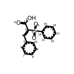 O=C(O)C(=Cc1ccccc1)S(=O)(=O)c1ccccc1